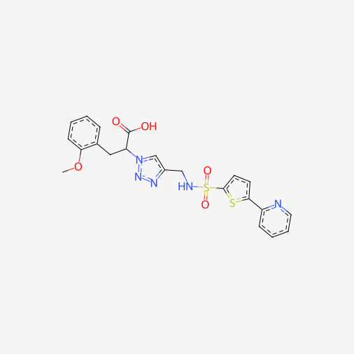 COc1ccccc1CC(C(=O)O)n1cc(CNS(=O)(=O)c2ccc(-c3ccccn3)s2)nn1